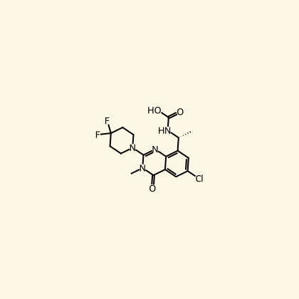 C[C@@H](NC(=O)O)c1cc(Cl)cc2c(=O)n(C)c(N3CCC(F)(F)CC3)nc12